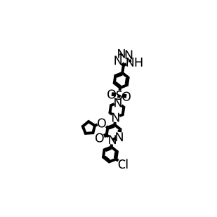 O=c1c(OC2CCCC2)c(N2CCN(S(=O)(=O)c3ccc(-c4nnn[nH]4)cc3)CC2)cnn1-c1cccc(Cl)c1